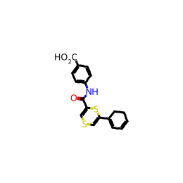 O=C(Nc1ccc(C(=O)O)cc1)C1=CSC=C(C2=CC=CCC2)S1